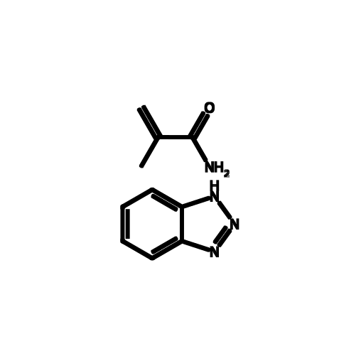 C=C(C)C(N)=O.c1ccc2[nH]nnc2c1